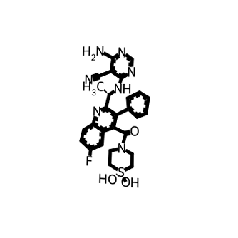 C[C@H](Nc1ncnc(N)c1C#N)c1nc2ccc(F)cc2c(C(=O)N2CCS(O)(O)CC2)c1-c1ccccc1